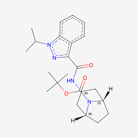 CC(C)n1nc(C(=O)N[C@H]2C[C@H]3CC[C@@H](C2)N3C(=O)OC(C)(C)C)c2ccccc21